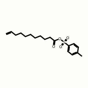 C=CCCCCCCCCC(=O)OS(=O)(=O)c1ccc(C)cc1